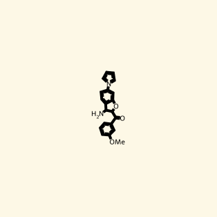 COc1cccc(C(=O)C2Oc3cc(-n4cccc4)ccc3C2N)c1